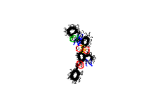 O=S(=O)(c1ccc(OCc2ccccc2)c2ncccc12)c1cccc2c1ncn2Cc1ccccc1Cl